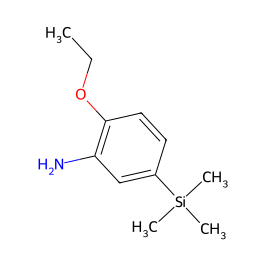 CCOc1ccc([Si](C)(C)C)cc1N